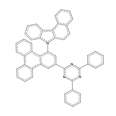 c1ccc(-c2nc(-c3ccccc3)nc(-c3cc(-n4c5ccccc5c5c6ccccc6ccc54)c4c5ccccc5c5ccccc5c4c3)n2)cc1